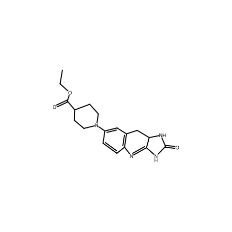 CCOC(=O)C1CCN(c2ccc3c(c2)CC2NC(=O)NC2=N3)CC1